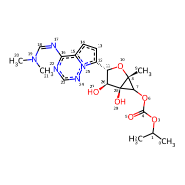 CC(C)OC(=O)OC1[C@@]2(C)O[C@@H](c3ccc4c(/N=C\N(C)C)ncnn34)[C@H](O)[C@@]12O